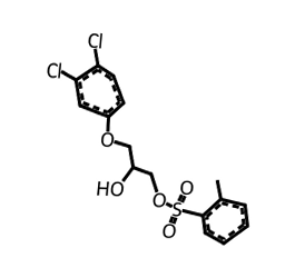 Cc1ccccc1S(=O)(=O)OCC(O)COc1ccc(Cl)c(Cl)c1